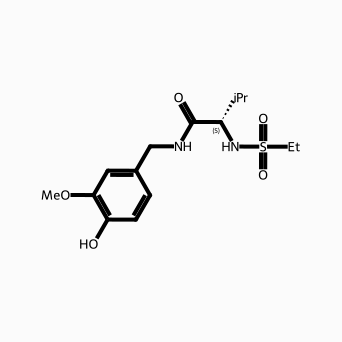 CCS(=O)(=O)N[C@H](C(=O)NCc1ccc(O)c(OC)c1)C(C)C